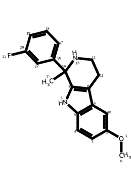 COc1ccc2[nH]c3c(c2c1)CCNC3(C)c1cccc(F)c1